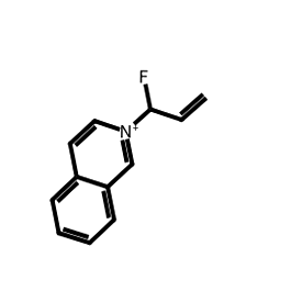 C=CC(F)[n+]1ccc2ccccc2c1